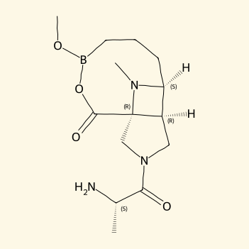 COB1CCC[C@H]2[C@H]3CN(C(=O)[C@H](C)N)C[C@]3(C(=O)O1)N2C